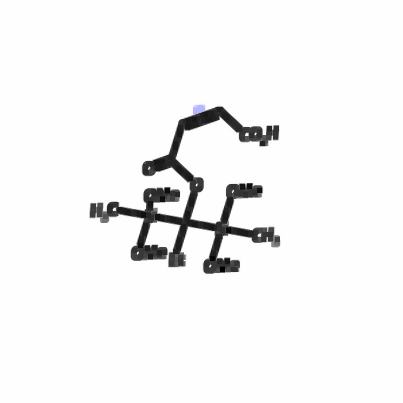 CCC(OC(=O)/C=C\C(=O)O)([Si](C)(OC)OC)[Si](C)(OC)OC